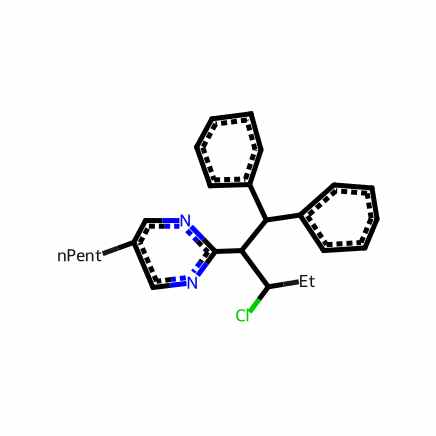 CCCCCc1cnc(C(C(Cl)CC)C(c2ccccc2)c2ccccc2)nc1